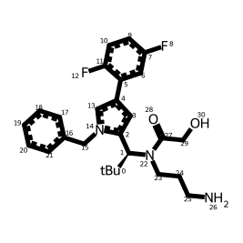 CC(C)(C)[C@@H](c1cc(-c2cc(F)ccc2F)cn1Cc1ccccc1)N(CCCN)C(=O)CO